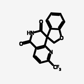 O=C1NC(=O)C2(COc3ccccc32)c2nc(C(F)(F)F)ccc21